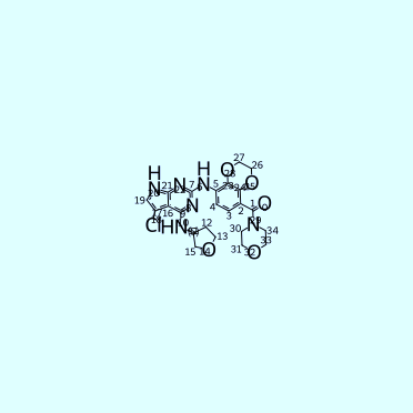 O=C(c1ccc(Nc2nc(N[C@H]3CCOC3)c3c(Cl)c[nH]c3n2)c2c1OCCO2)N1CCOCC1